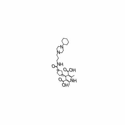 CC1=C(C(=O)O)C([C@H]2CC[C@@H](C(=O)NCCCN3CCN(C4CCCCC4)CC3)C2)C(C(=O)O)=C(C)N1